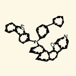 c1ccc(-c2ccc(N(c3ccc4c(c3)sc3ccccc34)c3ccc4ccc5ccc6c7ccncc7oc6c5c4c3)cc2)cc1